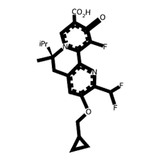 CC(C)[C@]1(C)Cc2cc(OCC3CC3)c(C(F)F)nc2-c2c(F)c(=O)c(C(=O)O)cn21